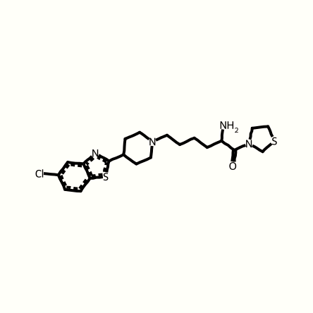 NC(CCCCN1CCC(c2nc3cc(Cl)ccc3s2)CC1)C(=O)N1CCSC1